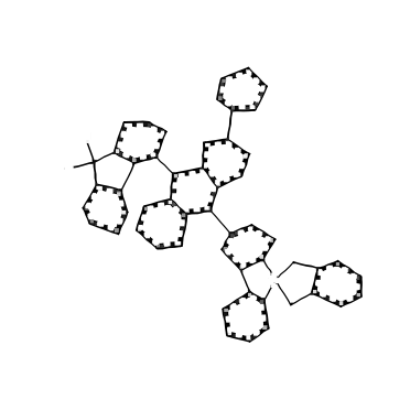 CC1(C)c2ccccc2-c2c(-c3c4ccccc4c(-c4ccc5c(c4)-c4ccccc4[Si]54Cc5ccccc5C4)c4ccc(-c5ccccc5)cc34)cccc21